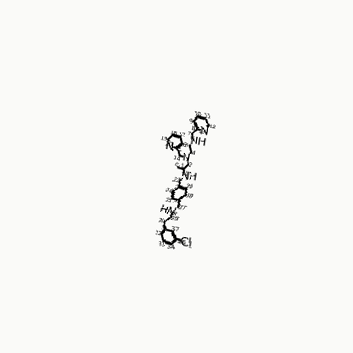 CC(CN(CCNCc1ccccn1)Cc1ccccn1)NCc1ccc(CNCCc2cccc(Cl)c2)cc1